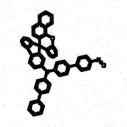 O=Nc1ccc(-c2ccc(N(c3ccc(-c4ccccc4)cc3)c3ccc4c(c3)C3(c5ccccc5Oc5c3ccc3ccccc53)c3ccccc3-4)cc2)cc1